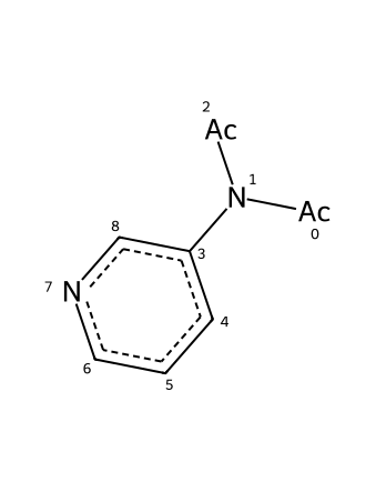 CC(=O)N(C(C)=O)c1cccnc1